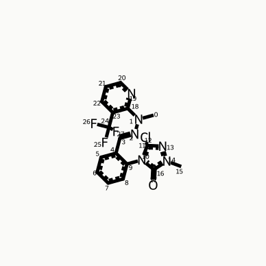 CN(N=Cc1ccccc1-n1c(Cl)nn(C)c1=O)c1ncccc1C(F)(F)F